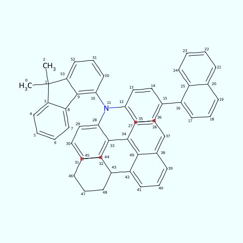 CC1(C)c2ccccc2-c2c(N(c3ccc(-c4cccc5ccccc45)cc3)c3ccccc3-c3cccc4cccc(C5CCCCC5)c34)cccc21